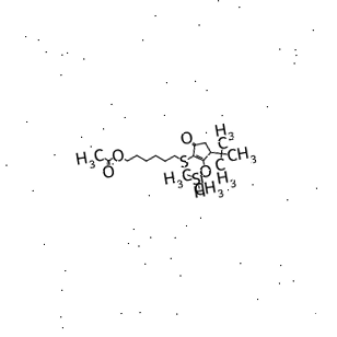 CC(=O)OCCCCCCSC1=C(O[SiH](C)C)C(C(C)(C)C)CC1=O